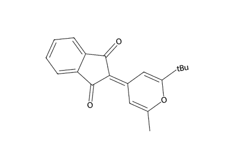 CC1=CC(=C2C(=O)c3ccccc3C2=O)C=C(C(C)(C)C)O1